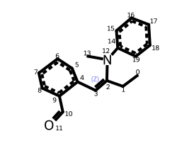 CC/C(=C/c1ccccc1C=O)N(C)c1ccccc1